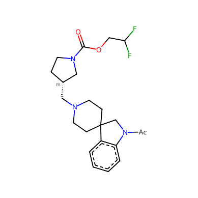 CC(=O)N1CC2(CCN(C[C@@H]3CCN(C(=O)OCC(F)F)C3)CC2)c2ccccc21